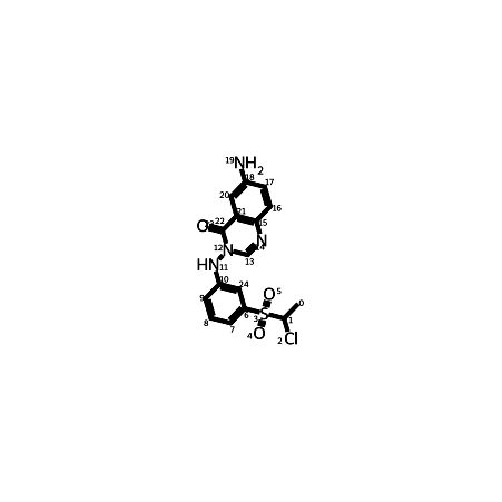 CC(Cl)S(=O)(=O)c1cccc(Nn2cnc3ccc(N)cc3c2=O)c1